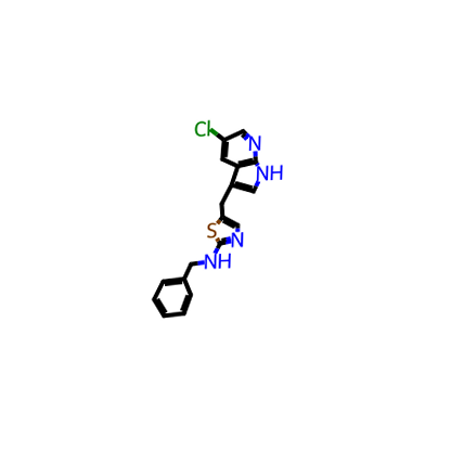 Clc1cnc2[nH]cc(Cc3cnc(NCc4ccccc4)s3)c2c1